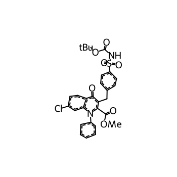 COC(=O)c1c(Cc2ccc(S(=O)(=O)NC(=O)OC(C)(C)C)cc2)c(=O)c2ccc(Cl)cc2n1-c1ccccc1